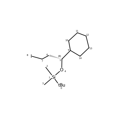 CC(C)(C)[Si](C)(C)O[C@H](CCI)C1CCCCC1